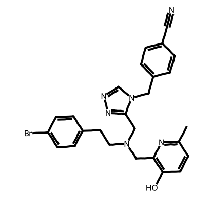 Cc1ccc(O)c(CN(CCc2ccc(Br)cc2)Cc2nncn2Cc2ccc(C#N)cc2)n1